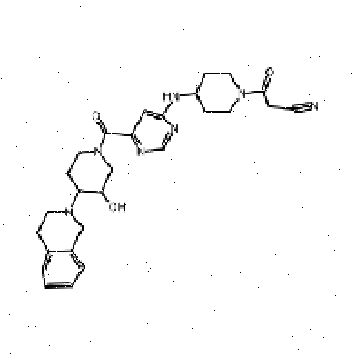 N#CCC(=O)N1CCC(Nc2cc(C(=O)N3CCC(N4CCc5ccccc5C4)C(O)C3)ncn2)CC1